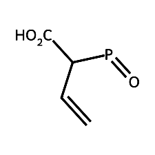 C=CC(P=O)C(=O)O